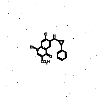 CCn1cc(C(=O)O)c(=O)c2cc(NC3CC3c3ccccc3)c(Cl)cc21